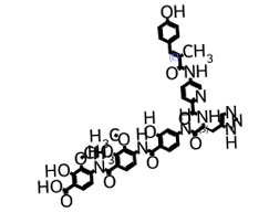 COc1c(NC(=O)c2ccc(NC(=O)c3ccc(NC(=O)[C@H](Cc4cnn[nH]4)NC(=O)c4ccc(NC(=O)/C(C)=C/c5ccc(O)cc5)cn4)cc3O)c(OC)c2O)ccc(C(=O)O)c1O